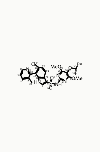 COc1nc(NS(=O)(=O)c2c[nH]c3c(-c4ncccc4C)c(Cl)ccc23)nc(OC)c1OC(F)F